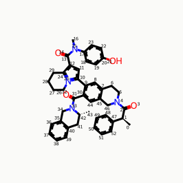 C[C@H](C(=O)N1CCc2cc(-c3cc(C(=O)N(C)c4ccc(O)cc4)c4n3CCCC4)c(C(=O)N3Cc4ccccc4C[C@H]3C)cc2C1)c1ccccc1